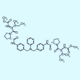 CC[C@H](C)[C@H](NC(=O)OC)C(=O)N1CCC[C@H]1C(=O)Nc1ccc(CN(Cc2ccc(NC(=O)[C@@H]3CCCN3C(=O)[C@@H](NC(=O)OC)[C@@H](C)CC)cc2)c2ccccc2)cc1